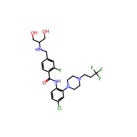 O=C(Nc1ccc(Cl)cc1N1CCN(CCC(F)(F)F)CC1)c1ccc(CNC(CO)CO)cc1F